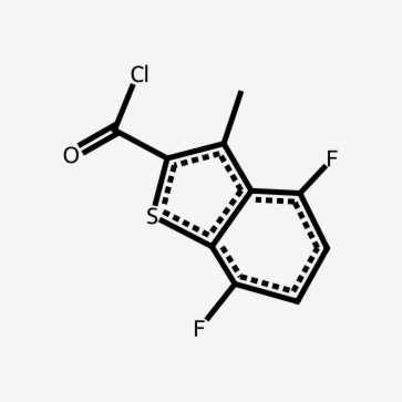 Cc1c(C(=O)Cl)sc2c(F)ccc(F)c12